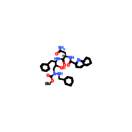 CC(C)(C)OC(=O)N(CC(O)C(Cc1ccccc1)NC(=O)[C@H](CC(N)=O)NC(=O)c1ccc2ccccc2n1)NCc1ccccc1